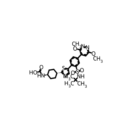 COc1cc(-c2ccc(-c3cnc([C@H]4CC[C@H](NC(=O)O)CC4)s3)c(S(=O)(=O)NC(C)(C)C)c2)c(OC)nn1